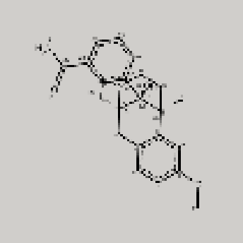 COc1ccc2c(c1)[C@]1(C)CCN(C)[C@H](C2)[C@]1(O)c1cccc(C(N)=O)c1